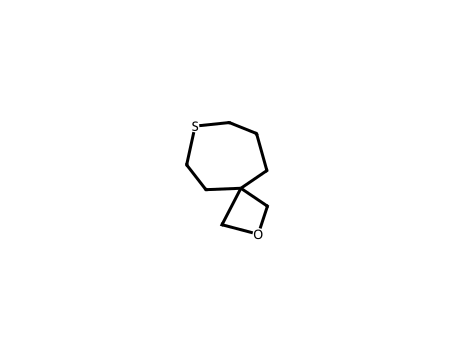 C1CSCCC2(C1)COC2